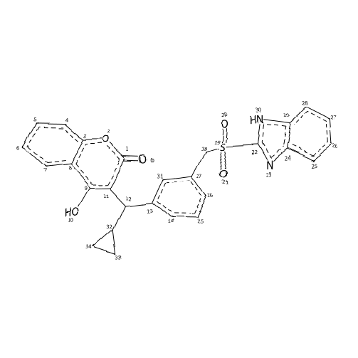 O=c1oc2ccccc2c(O)c1C(c1cccc(CS(=O)(=O)c2nc3ccccc3[nH]2)c1)C1CC1